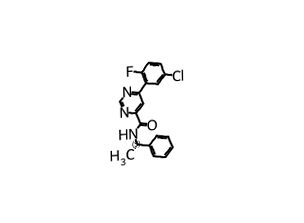 C[C@H](NC(=O)c1cc(-c2cc(Cl)ccc2F)ncn1)c1ccccc1